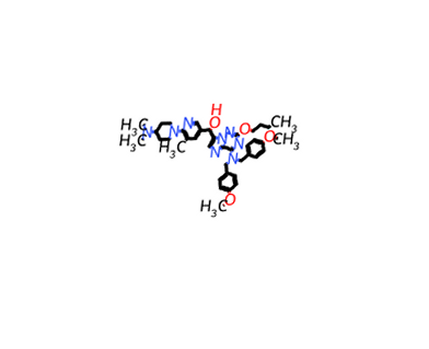 CCCCOc1nc(N(Cc2ccc(OC)cc2)Cc2ccc(OC)cc2)c2ncc(C(O)c3cnc(N4CCC(N(C)C)CC4)c(C)c3)n2n1